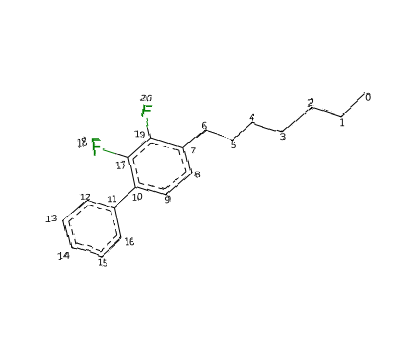 CCCCCCCc1ccc(-c2ccccc2)c(F)c1F